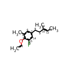 C=COc1c(C)cc(CC/C(C)=C/C)cc1F